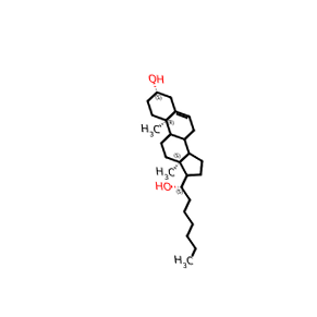 CCCCCC[C@H](O)C1CCC2C3CC=C4C[C@@H](O)CC[C@]4(C)C3CC[C@@]21C